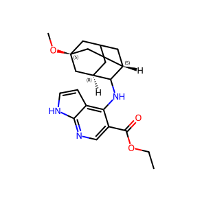 CCOC(=O)c1cnc2[nH]ccc2c1NC1[C@@H]2CC3C[C@H]1C[C@@](OC)(C3)C2